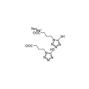 O=C([O-])CCCn1nnnc1S.O=C([O-])CCCn1nnnc1S.[Na+].[Na+]